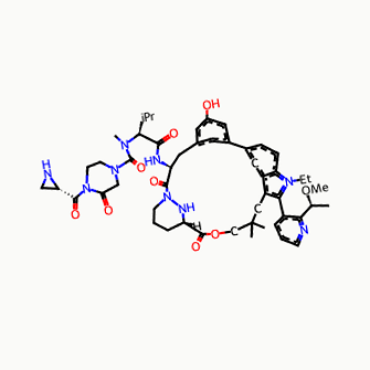 CCn1c(-c2cccnc2[C@H](C)OC)c2c3cc(ccc31)-c1cc(O)cc(c1)C[C@H](NC(=O)[C@H](C(C)C)N(C)C(=O)N1CCN(C(=O)[C@@H]3CN3)C(=O)C1)C(=O)N1CCC[C@H](N1)C(=O)OCC(C)(C)C2